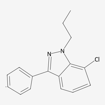 CCCn1nc(-c2cc[c]cc2)c2cccc(Cl)c21